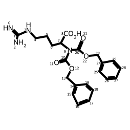 N=C(N)NCCCC(C(=O)O)N(C(=O)OCc1ccccc1)C(=O)OCc1ccccc1